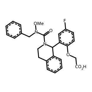 CON(Cc1ccccc1)C(=O)N1CCc2ccccc2C1c1cc(F)ccc1OCC(=O)O